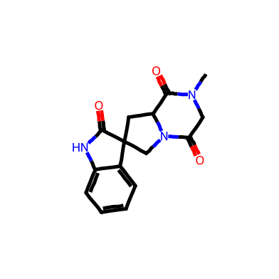 CN1CC(=O)N2CC3(CC2C1=O)C(=O)Nc1ccccc13